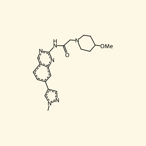 COC1CCN(CC(=O)Nc2ncc3ccc(-c4cnn(C)c4)cc3n2)CC1